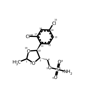 CC1O[C@@H](COS(N)(=O)=O)[C@H](c2ccc(Cl)cc2Cl)O1